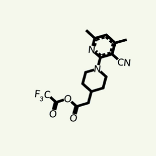 Cc1cc(C)c(C#N)c(N2CCC(CC(=O)OC(=O)C(F)(F)F)CC2)n1